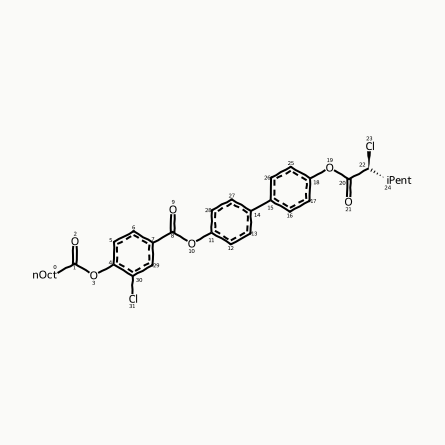 CCCCCCCCC(=O)Oc1ccc(C(=O)Oc2ccc(-c3ccc(OC(=O)[C@@H](Cl)[C@@H](C)CCC)cc3)cc2)cc1Cl